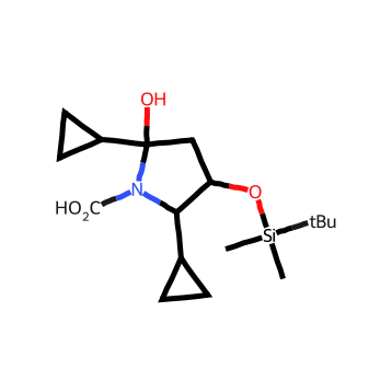 CC(C)(C)[Si](C)(C)OC1CC(O)(C2CC2)N(C(=O)O)C1C1CC1